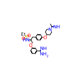 CCS(=O)(=O)N[C@H](COc1cccc(C(=N)N)c1)Cc1ccc(OC2CCN(C(C)=N)CC2)cc1